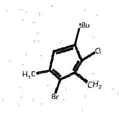 Cc1cc(C(C)(C)C)c(Cl)c(C)c1Br